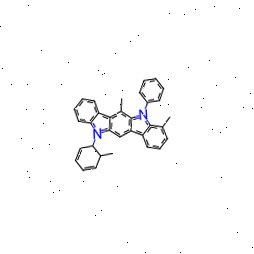 Cc1cccc2c3cc4c(c(C)c3n(-c3ccccc3)c12)c1ccccc1n4C1C=CC=CC1C